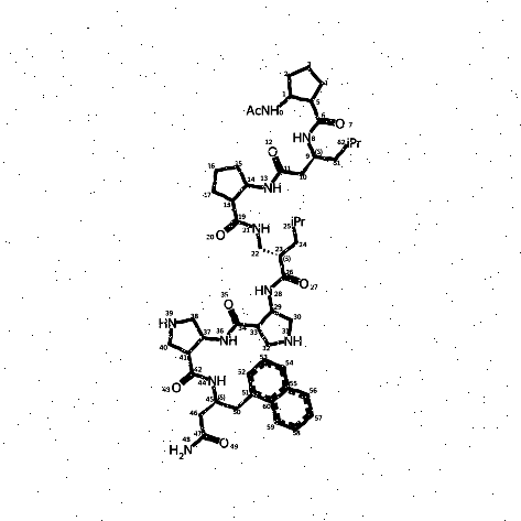 CC(=O)NC1CCCC1C(=O)N[C@H](CC(=O)NC1CCCC1C(=O)NC[C@H](CC(C)C)C(=O)NC1CNCC1C(=O)NC1CNCC1C(=O)N[C@H](CC(N)=O)Cc1cccc2ccccc12)CC(C)C